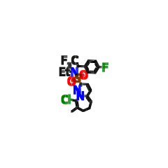 CCN([C@H](c1ccc(F)cc1)C(F)(F)F)S(=O)(=O)C1=NN2C(=CCCC(C)=C2Cl)C=C1